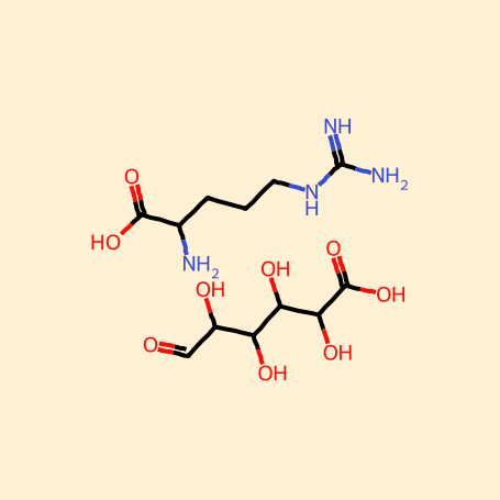 N=C(N)NCCCC(N)C(=O)O.O=CC(O)C(O)C(O)C(O)C(=O)O